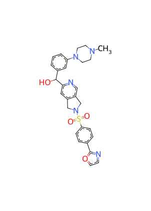 CN1CCN(c2cccc(C(O)c3cc4c(cn3)CN(S(=O)(=O)c3ccc(-c5ncco5)cc3)C4)c2)CC1